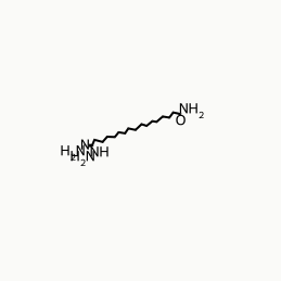 N/N=C(/CCCCCCCCCCCCCCCC(N)=O)NN